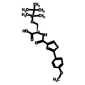 COc1ccc(-c2nc(C(=O)N[C@@H](CO[Si](C)(C)C(C)(C)C)C(=O)O)cs2)cc1